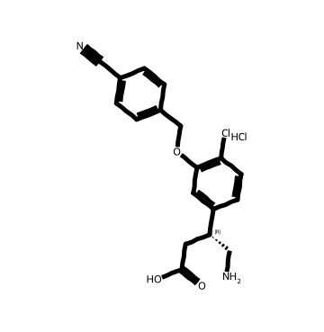 Cl.N#Cc1ccc(COc2cc([C@H](CN)CC(=O)O)ccc2Cl)cc1